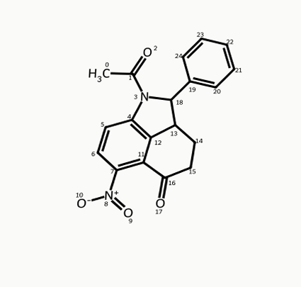 CC(=O)N1c2ccc([N+](=O)[O-])c3c2C(CCC3=O)C1c1ccccc1